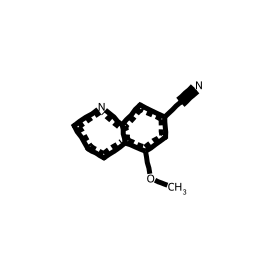 COc1cc(C#N)cc2ncccc12